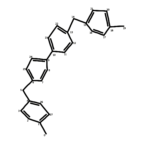 Cc1ccc(Cc2ccc(-c3ccc(Cc4ccc(C)cc4)cc3)cc2)cc1